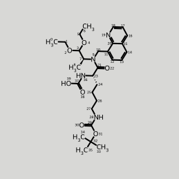 CCOC(OCC)[C@H](C)N(Cc1cccc2cccnc12)C(=O)[C@H](CCCCNC(=O)OC(C)(C)C)NC(=O)O